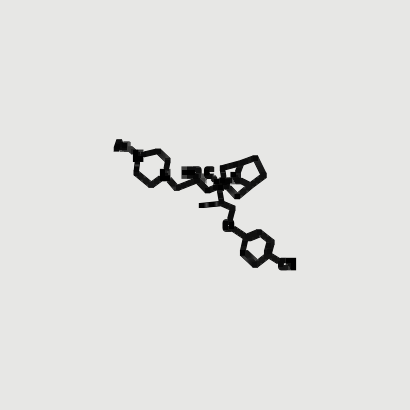 CC(=O)N1CCN(CCCN2CC3CCC(C2)N3N(C(=O)O)C(C)COc2ccc(C#N)cc2)CC1